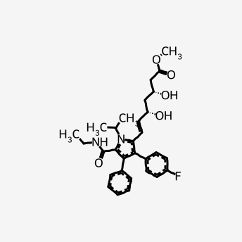 CCNC(=O)c1c(-c2ccccc2)c(-c2ccc(F)cc2)c(/C=C/[C@@H](O)C[C@@H](O)CC(=O)OC)n1C(C)C